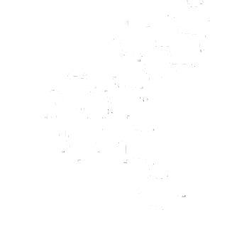 c1ccc(-c2ccc(-c3nc(-c4cc5ccc6ccccc6c5c5ccccc45)nc(-c4cccc5oc6ccccc6c45)n3)cc2)cc1